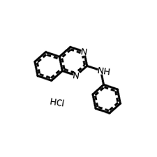 Cl.c1ccc(Nc2ncc3ccccc3n2)cc1